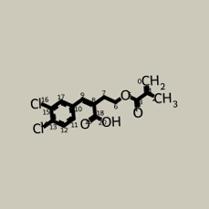 C=C(C)C(=O)OCCC(=Cc1ccc(Cl)c(Cl)c1)C(=O)O